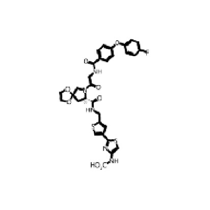 O=C(O)Nc1csc(-c2csc(CNC(=O)[C@@H]3CC4(CN3C(=O)CNC(=O)c3ccc(Oc5ccc(F)cc5)cc3)OCCO4)c2)n1